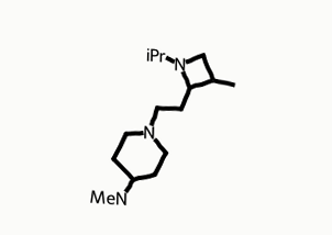 CNC1CCN(CCC2C(C)CN2C(C)C)CC1